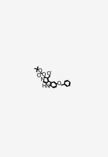 COCc1c(OC(=O)OC(C)(C)C)ncc2[nH]c3ccc(OCc4ccccc4)cc3c12